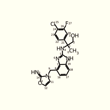 CC(CO)(Nc1nc2c(Cn3ccoc3=N)cccc2[nH]1)c1ccc(Cl)c(F)c1